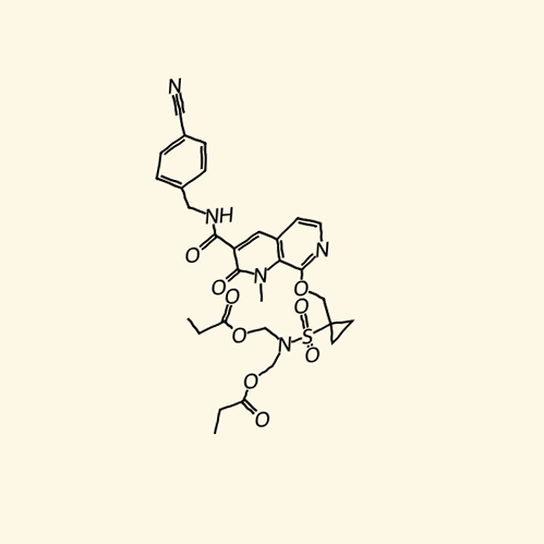 CCC(=O)OCN(COC(=O)CC)S(=O)(=O)C1(COc2nccc3cc(C(=O)NCc4ccc(C#N)cc4)c(=O)n(C)c23)CC1